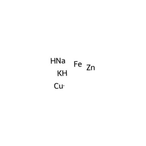 [Cu].[Fe].[KH].[NaH].[Zn]